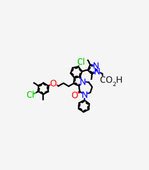 Cc1cc(OCCCc2c3n(c4c(-c5c(C)nn(CC(=O)O)c5C)c(Cl)ccc24)CCCN(c2ccccc2)C3=O)cc(C)c1Cl